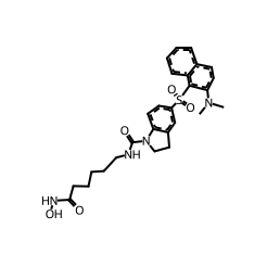 CN(C)c1ccc2ccccc2c1S(=O)(=O)c1ccc2c(c1)CCN2C(=O)NCCCCCC(=O)NO